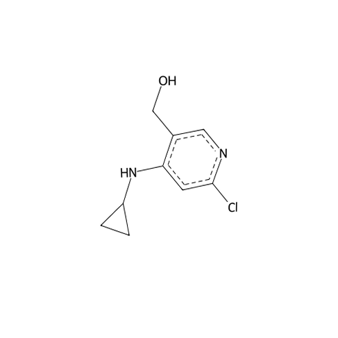 OCc1cnc(Cl)cc1NC1CC1